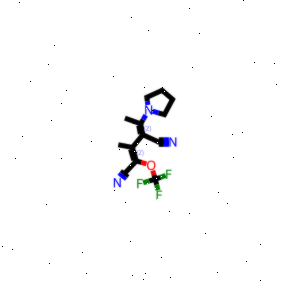 CC(=C(\C#N)OC(F)(F)F)/C(C#N)=C(\C)N1CCCC1